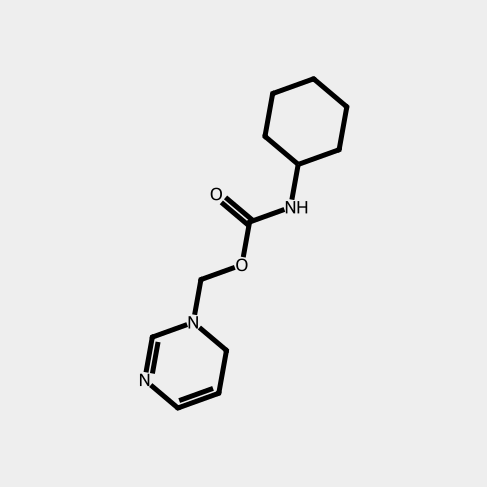 O=C(NC1CCCCC1)OCN1C=NC=CC1